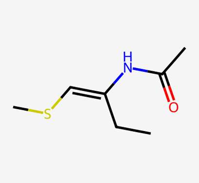 CC/C(=C\SC)NC(C)=O